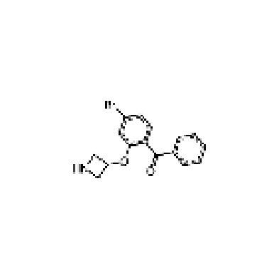 O=C(c1ccccc1)c1ccc(Br)cc1OC1CNC1